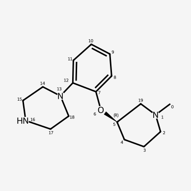 CN1CCC[C@@H](Oc2ccccc2N2CCNCC2)C1